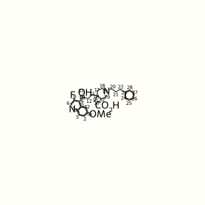 COc1ccc2ncc(F)c([C@@H](O)CCC3(CC(=O)O)CCN(CCCc4ccccc4)CC3)c2c1